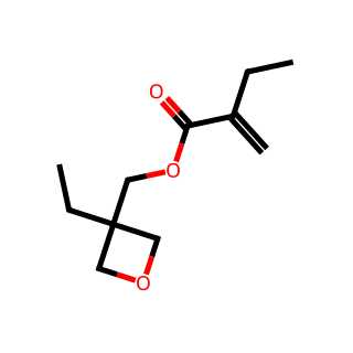 C=C(CC)C(=O)OCC1(CC)COC1